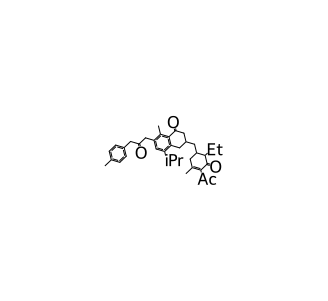 CCC1C(=O)C(C(C)=O)=C(C)CC1CC1CC(=O)c2c(C)c(CC(=O)Cc3ccc(C)cc3)cc(C(C)C)c2C1